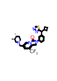 C[C@@H]1CCN(Cc2cc(C(F)(F)F)c3cn(-c4cccc(C(c5nncs5)C5CCC5)c4)c(=O)n3c2)C[C@H]1C